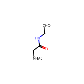 CC(=O)NCC(=O)NC[C]=O